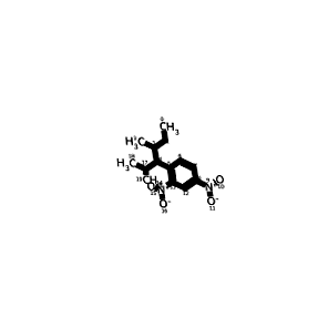 CCC(C)[C](c1ccc([N+](=O)[O-])cc1[N+](=O)[O-])C(C)C